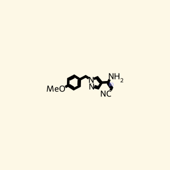 COc1ccc(Cn2cc(/C(N)=C\C#N)cn2)cc1